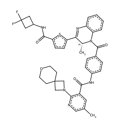 Cc1cnc(N2CC3(CCOCC3)C2)c(C(=O)Nc2ccc(C(=O)N3c4ccccc4N=C(c4ccc(C(=O)NC5CC(F)(F)C5)s4)[C@H]3C)cc2)c1